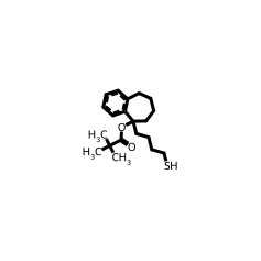 CC(C)(C)C(=O)OC1(CCCCS)CCCCc2ccccc21